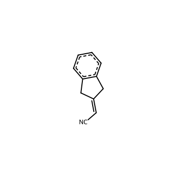 N#CC=C1Cc2ccccc2C1